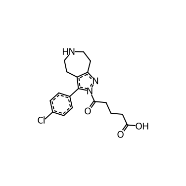 O=C(O)CCCC(=O)n1nc2c(c1-c1ccc(Cl)cc1)CCNCC2